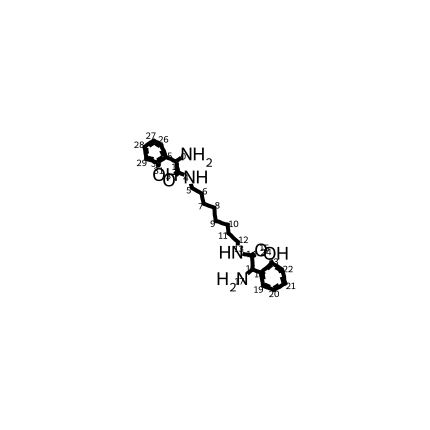 NC(C(=O)NCCCCCCCCNC(=O)C(N)c1ccccc1O)c1ccccc1O